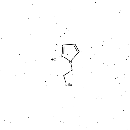 CCCCCCn1cccn1.Cl